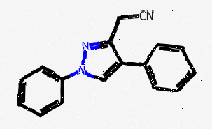 N#CCc1nn(-c2ccccc2)cc1-c1ccccc1